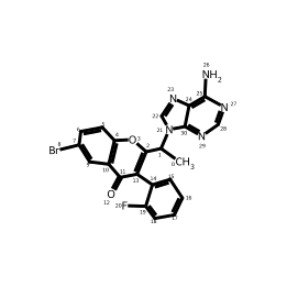 CC(c1oc2ccc(Br)cc2c(=O)c1-c1ccccc1F)n1cnc2c(N)ncnc21